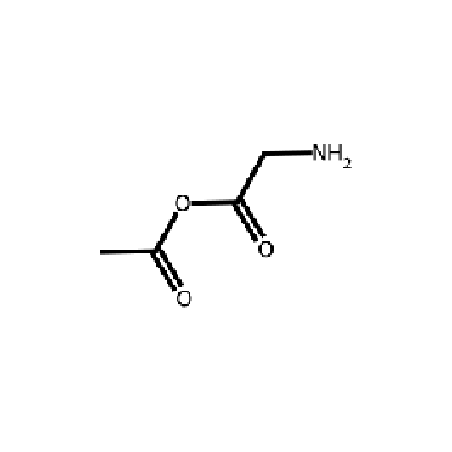 CC(=O)OC(=O)CN